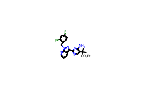 CCOC(=O)C(C)(C)c1cnc(-c2nn(Cc3ccc(F)cc3F)c3ncccc23)nc1N